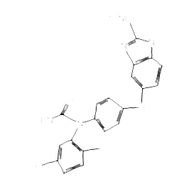 CC(=O)Nc1nc2cc(Oc3ccc(N(C(N)=O)c4cc(C(F)(F)F)ccc4F)cc3)ccc2[nH]1